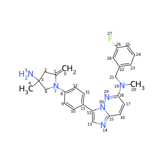 C=C1CC(C)(N)CN1c1ccc(-c2cnc3ccc(N(C)Cc4cccc(F)c4)nn23)cc1